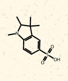 CC1N(C)c2ccc(S(=O)(=O)O)cc2C1(C)C